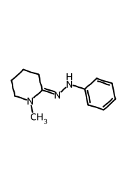 CN1CCCC/C1=N\Nc1ccccc1